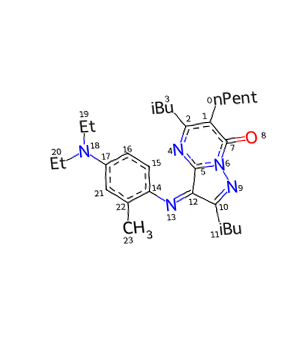 CCCCCc1c(C(C)CC)nc2n(c1=O)N=C(C(C)CC)C2=Nc1ccc(N(CC)CC)cc1C